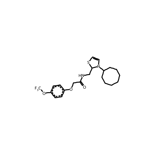 O=C(COc1ccc(OC(F)(F)F)cc1)NCC1SC=CN1C1CCCCCCC1